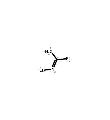 [CH2]C(CC)=NCC